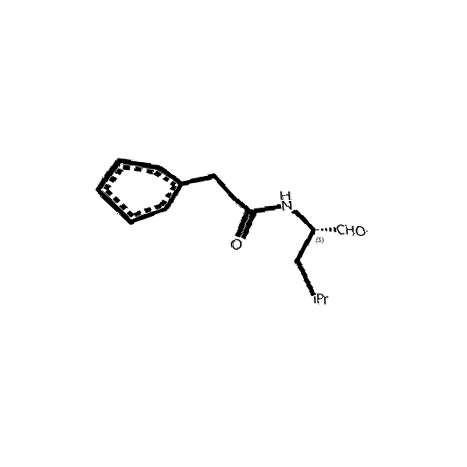 CC(C)C[C@@H]([C]=O)NC(=O)Cc1ccccc1